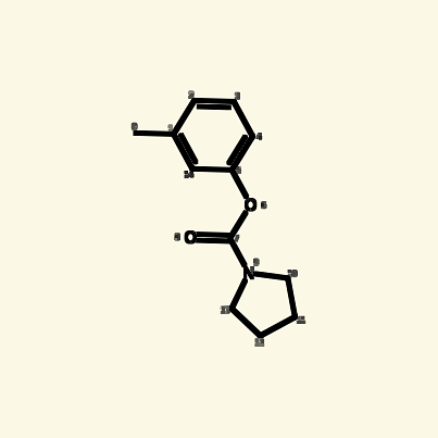 Cc1cccc(OC(=O)N2CCCC2)c1